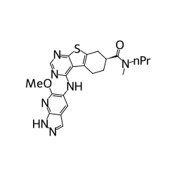 CCCN(C)C(=O)[C@H]1CCc2c(sc3ncnc(Nc4cc5cn[nH]c5nc4OC)c23)C1